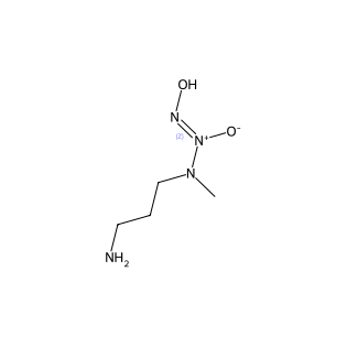 CN(CCCN)/[N+]([O-])=N/O